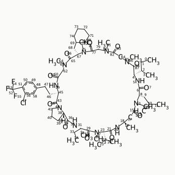 CCC(C)[C@@H]1NC(=O)[C@H](CC(C)C)N(C)C(=O)C[C@@H](C)NC(=O)[C@H](C(C)C)N(C)C(=O)[C@@](C)(CC)NC(=O)[C@@H]2CCCN2C(=O)[C@H](CCc2ccc(C(F)(F)F)c(Cl)c2)NC(=O)CN(C)C(=O)[C@H](CC2CCCCC2)N(C)C(=O)CN(C)C(=O)CN(C)C1=O